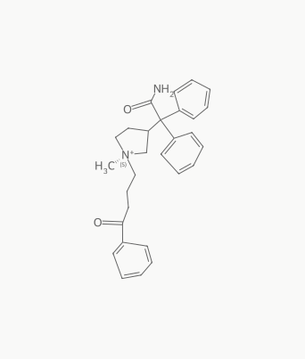 C[N@+]1(CCCC(=O)c2ccccc2)CCC(C(C(N)=O)(c2ccccc2)c2ccccc2)C1